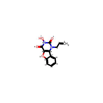 C=CCn1c(=O)n(O)c(=O)c2oc3ccccc3c21